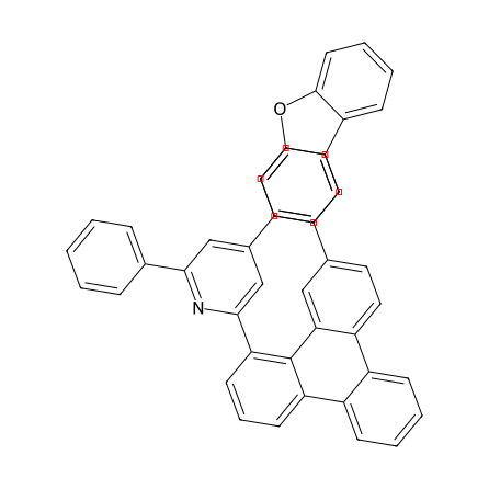 c1ccc(-c2cc(-c3ccccc3)nc(-c3cccc4c5ccccc5c5ccc(-c6ccc7oc8ccccc8c7c6)cc5c34)c2)cc1